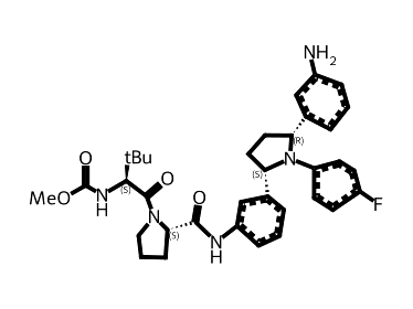 COC(=O)N[C@H](C(=O)N1CCC[C@H]1C(=O)Nc1cccc([C@@H]2CC[C@H](c3cccc(N)c3)N2c2ccc(F)cc2)c1)C(C)(C)C